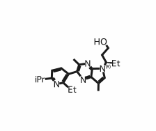 CCc1nc(C(C)C)ccc1-c1nc2c(C)cn([C@H](CC)CCO)c2nc1C